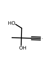 [C]#CC(C)(O)CO